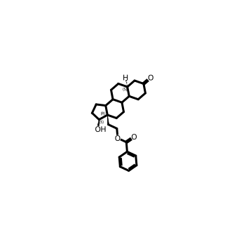 O=C1CCC2C3CC[C@@]4(CCOC(=O)c5ccccc5)C(CC[C@@H]4O)C3CC[C@H]2C1